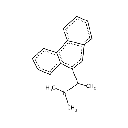 CC(c1cc2ccccc2c2ccccc12)N(C)C